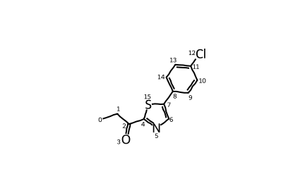 CCC(=O)c1ncc(-c2ccc(Cl)cc2)s1